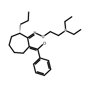 CCC[C@H]1CCCCC(=C(Cl)c2ccccc2)C1=NOCCN(CC)CC